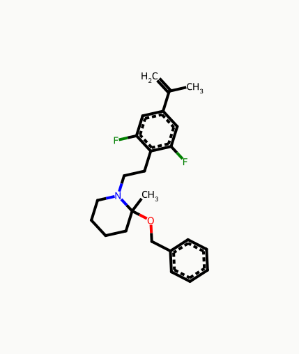 C=C(C)c1cc(F)c(CCN2CCCCC2(C)OCc2ccccc2)c(F)c1